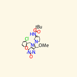 COCc1c(N2CCC[C@@H](NC(=O)OC(C)(C)C)C2)n(Cc2ccccc2Cl)c2c(=O)n(C)c(=O)n(C)c12